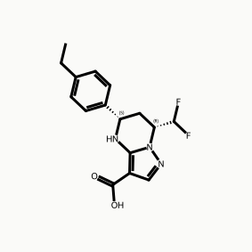 CCc1ccc([C@@H]2C[C@H](C(F)F)n3ncc(C(=O)O)c3N2)cc1